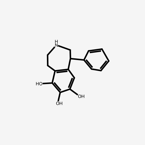 Oc1cc2c(c(O)c1O)CCNCC2c1ccccc1